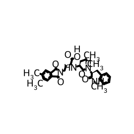 CNC(=O)[C@H](Cc1ccccc1)NC(=O)[C@H](CC(C)C)N[C@H](CCN1C(=O)c2cc(C)c(C)cc2C1=O)C(=O)O